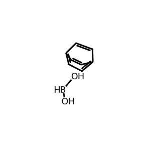 OBO.c1cc2ccc1cc2